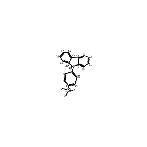 C[Si](C)(C)c1ccc(-n2c3ccccc3c3ccccc32)cc1